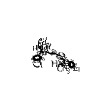 CN[C@@H](C)C(OC(=O)/C=C/C(=O)OC(Sc1ccc(Cl)cc1)[C@H](C)NC)Sc1ccc(Cl)cc1